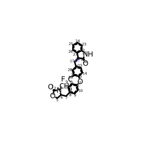 CN1C(=O)OCC1Cc1ccc(Oc2ccc(/C=C3\C(=O)Nc4ccccc43)cc2C(F)(F)F)cc1